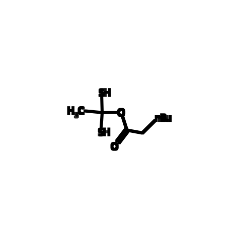 CCCCCC(=O)OC(C)(S)S